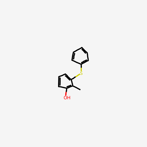 Cc1c(O)cccc1Sc1ccccc1